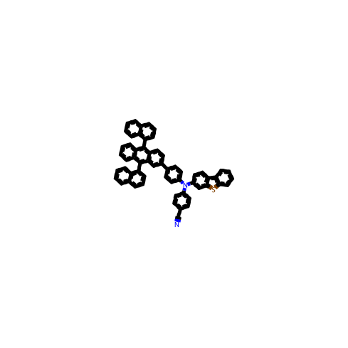 N#Cc1ccc(N(c2ccc(-c3ccc4c(-c5cccc6ccccc56)c5ccccc5c(-c5cccc6ccccc56)c4c3)cc2)c2ccc3c(c2)sc2ccccc23)cc1